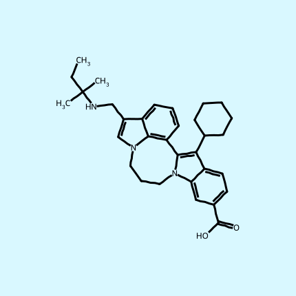 CCC(C)(C)NCc1cn2c3c(cccc13)-c1c(C3CCCCC3)c3ccc(C(=O)O)cc3n1CCC2